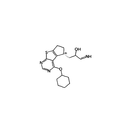 N=CC(O)C[C@H]1CCc2sc3ncnc(OC4CCCCC4)c3c21